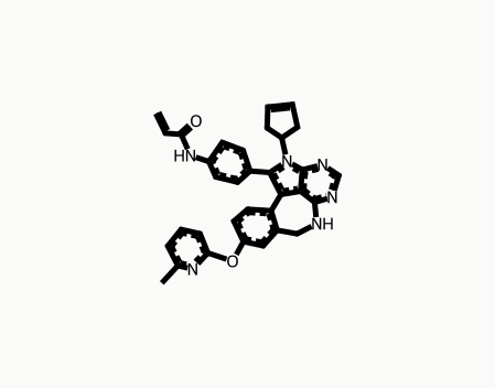 C=CC(=O)Nc1ccc(-c2c3c4c(ncnc4n2C2CC=CC2)NCc2cc(Oc4cccc(C)n4)ccc2-3)cc1